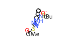 COC(=O)CCSc1cnc(N2CCC3(CC2)Cc2ccccc2[C@H]3N[S+]([O-])C(C)(C)C)nn1